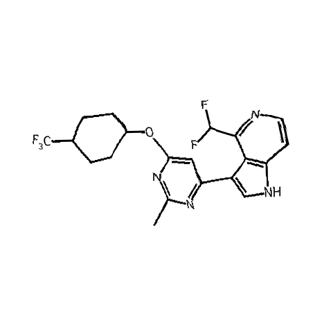 Cc1nc(OC2CCC(C(F)(F)F)CC2)cc(-c2c[nH]c3ccnc(C(F)F)c23)n1